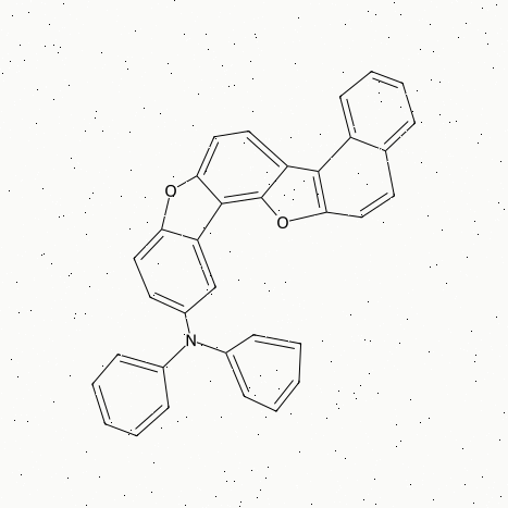 c1ccc(N(c2ccccc2)c2ccc3oc4ccc5c(oc6ccc7ccccc7c65)c4c3c2)cc1